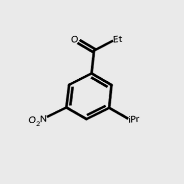 CCC(=O)c1cc(C(C)C)cc([N+](=O)[O-])c1